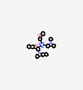 c1ccc(-n2c3ccccc3c3ccc(-c4nc(-c5ccc6oc7ccccc7c6c5)nc(-c5cc(-n6c7ccccc7c7cc8ccccc8cc76)cc6c5oc5cc7ccccc7cc56)n4)cc32)cc1